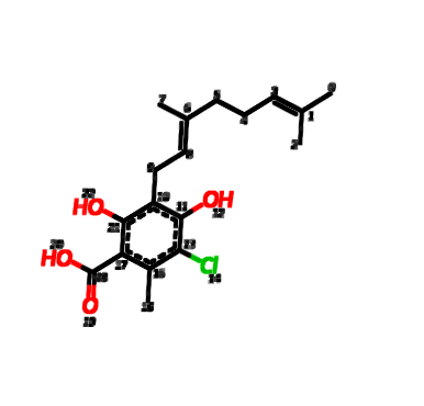 CC(C)=CCC/C(C)=C/Cc1c(O)c(Cl)c(C)c(C(=O)O)c1O